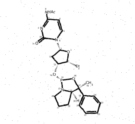 CC[C@H]1O[C@@H](n2ccc(NC(C)=O)nc2=O)C[C@H]1O[P@]1O[C@@](C)(c2ccccc2)[C@H]2CCCN21